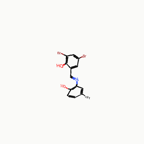 CCCc1ccc(O)c(/N=C/c2cc(Br)cc(Br)c2O)c1